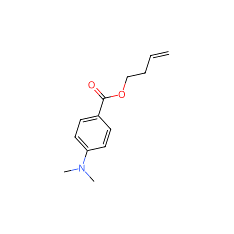 C=CCCOC(=O)c1ccc(N(C)C)cc1